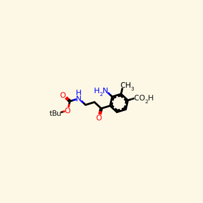 Cc1c(C(=O)O)ccc(C(=O)CCNC(=O)OC(C)(C)C)c1N